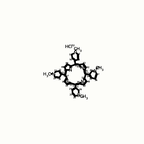 CN1C=CC(c2c3nc(c(C4=CCN(C)C=C4)c4ccc(s4)c(C4=CC=CN(C)C4)c4nc(c(C5=CC=CN(C)C5)c5ccc2[nH]5)C=C4)C=C3)=CC1.Cl